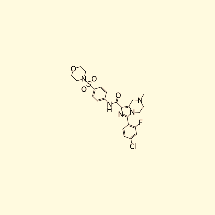 CN1CCn2c(-c3ccc(Cl)cc3F)nc(C(=O)Nc3ccc(S(=O)(=O)N4CCOCC4)cc3)c2C1